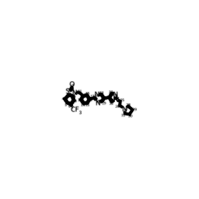 O=c1sc2ccc(C(F)(F)F)cc2n1Cc1cccc(-c2ncc(-c3cnn(CCN4CCCC4)c3)cn2)c1